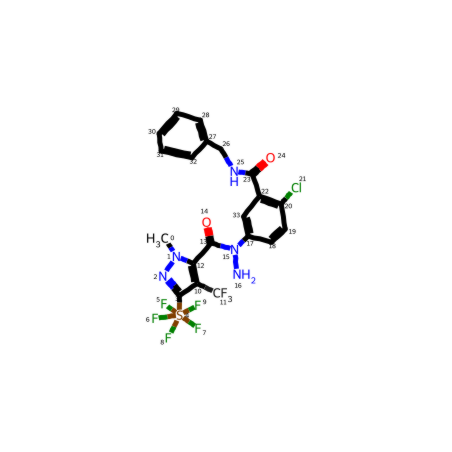 Cn1nc(S(F)(F)(F)(F)F)c(C(F)(F)F)c1C(=O)N(N)c1ccc(Cl)c(C(=O)NCc2ccccc2)c1